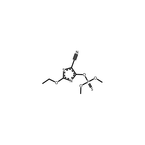 CCOc1nc(OP(=S)(OC)OC)c(C#N)s1